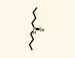 CCCC[PH](=[Se])CCCC